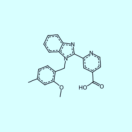 COc1cc(C)ccc1Cn1c(-c2cc(C(=O)O)ccn2)nc2ccccc21